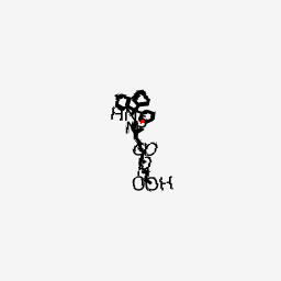 O=C(O)C=NOCC(=O)OCCc1csc(NC(c2ccccc2)(c2ccccc2)c2ccccc2)n1